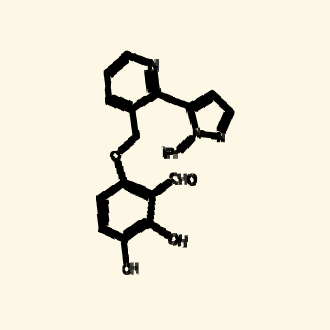 CC(C)n1nccc1-c1ncccc1COc1ccc(O)c(O)c1C=O